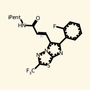 CCCC(C)NC(=O)/C=C/c1c(-c2ccccc2F)nc2sc(C(F)(F)F)nn12